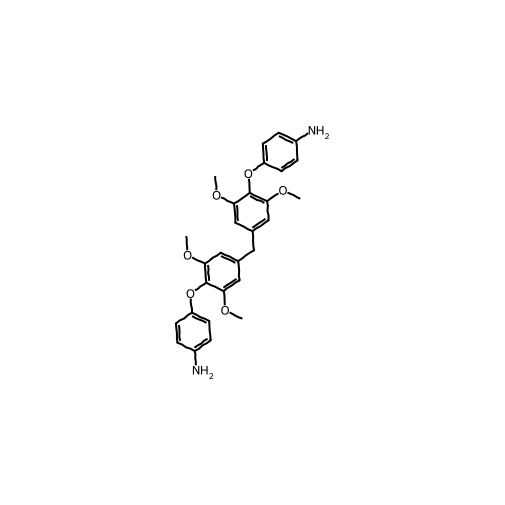 COc1cc(Cc2cc(OC)c(Oc3ccc(N)cc3)c(OC)c2)cc(OC)c1Oc1ccc(N)cc1